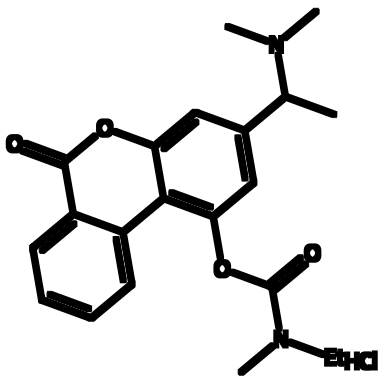 CCN(C)C(=O)Oc1cc(C(C)N(C)C)cc2oc(=O)c3ccccc3c12.Cl